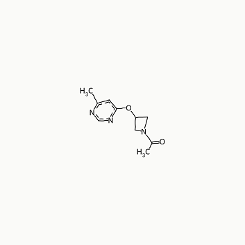 CC(=O)N1CC(Oc2cc(C)ncn2)C1